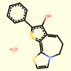 O.Oc1c(-c2ccccc2)sc2c1=CCCN1C=CSC=21